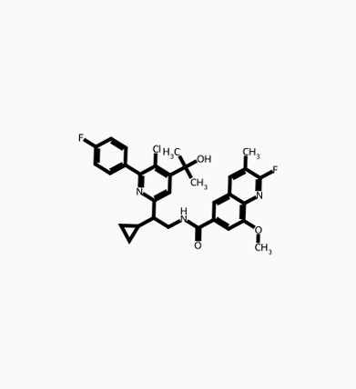 COc1cc(C(=O)NCC(c2cc(C(C)(C)O)c(Cl)c(-c3ccc(F)cc3)n2)C2CC2)cc2cc(C)c(F)nc12